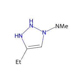 CCC1=CN(NC)NN1